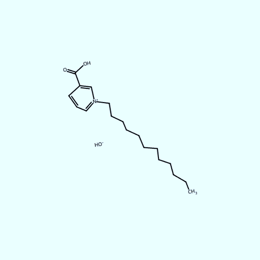 CCCCCCCCCCCC[n+]1cccc(C(=O)O)c1.[OH-]